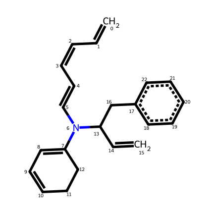 C=C/C=C\C=C\N(C1=CC=CCC1)C(C=C)Cc1ccccc1